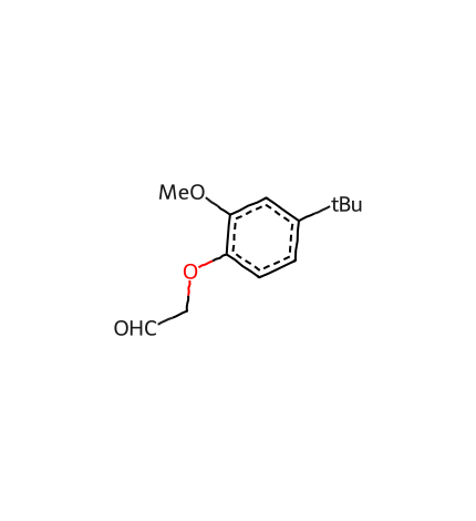 COc1cc(C(C)(C)C)ccc1OCC=O